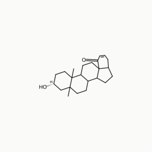 CC12CCC3C4CCC5CC=CC(=O)C54CCC3C1(C)CC[C@@H](O)C2